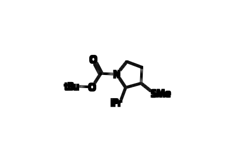 CSC1CCN(C(=O)OC(C)(C)C)C1C(C)C